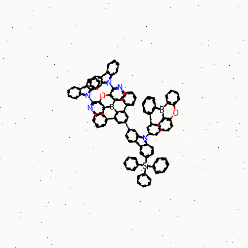 c1ccc(-c2cc(-c3ccc4c5cc([Si](c6ccccc6)(c6ccccc6)c6ccccc6)ccc5n(-c5cccc(-c6ccccc6B6c7ccccc7Oc7ccccc76)c5)c4c3)cc(-c3ccccc3)c2B2c3ccnc(-n4c5ccccc5c5ccccc54)c3Oc3c2ccnc3-n2c3ccccc3c3ccccc32)cc1